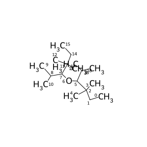 CCC(C)(C)C(OC(C(C)C)C(C)(C)CC)C(C)C